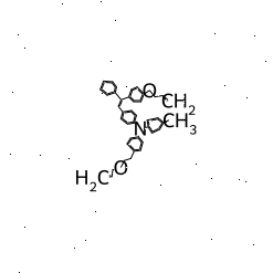 C=CCOCCc1ccc(N(c2ccc(C)cc2)c2ccc(C=C(c3ccccc3)c3ccc(OCC=C)cc3)cc2)cc1